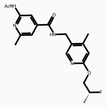 CC(=O)Nc1cc(C(=O)NCc2cnc(OC[C@@H](C)F)cc2C)cc(C)n1